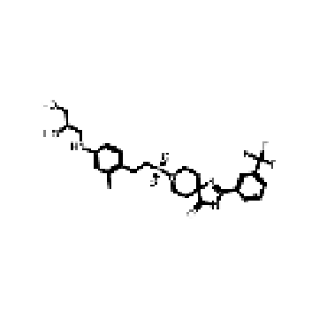 Cc1cc(NCC(O)CO)ccc1CCS(=O)(=O)N1CCC2(CC1)N=C(c1cccc(C(F)(F)F)c1)NC2=O